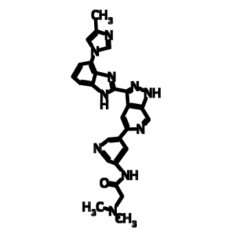 Cc1cn(-c2cccc3[nH]c(-c4n[nH]c5cnc(-c6cncc(NC(=O)CN(C)C)c6)cc45)nc23)cn1